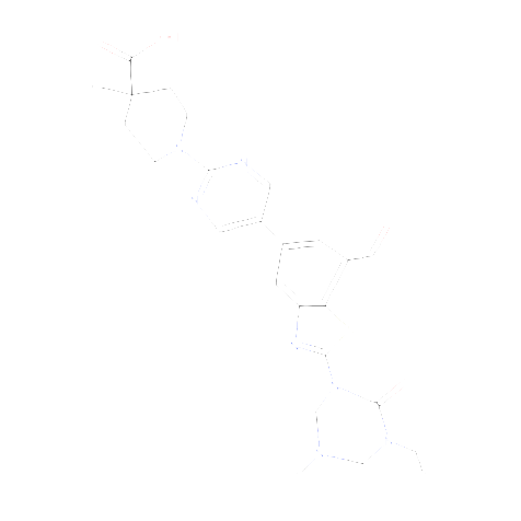 CCN1CN(C)CN(c2nc3cc(-c4cnc(N5CCC(C)(C(=O)O)CC5)nc4)cc(C=O)c3s2)C1=O